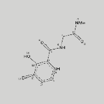 CNC(=O)CNC(=O)c1[nH]ccc(=O)c1O